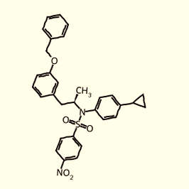 C[C@H](Cc1cccc(OCc2ccccc2)c1)N(c1ccc(C2CC2)cc1)S(=O)(=O)c1ccc([N+](=O)[O-])cc1